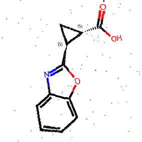 O=C(O)[C@H]1C[C@@H]1c1nc2ccccc2o1